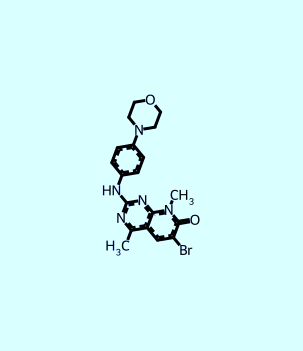 Cc1nc(Nc2ccc(N3CCOCC3)cc2)nc2c1cc(Br)c(=O)n2C